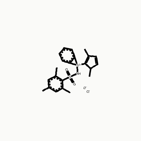 CC1=[C]([Ti+2]2([NH]S(=O)(=O)c3c(C)cc(C)cc3C)[c]3cccc[c]32)C(C)C=C1.[Cl-].[Cl-]